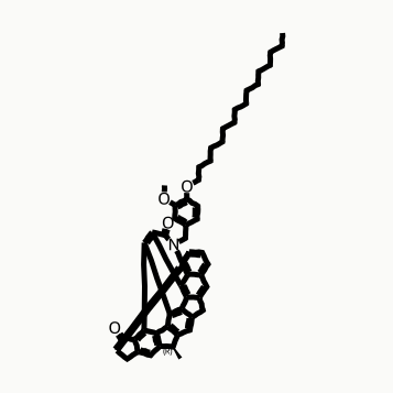 CCCCCCCCCCCCCCCCOc1ccc(Cn2c(=O)c3c4c5c6cc7ccc(cc8c(=O)c9c(cc%10c%11c%12c(cc(c5c%12c3c9%11)C6)[C@H]%10C)C8)c2c74)cc1OC